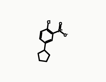 O=[N+]([O-])c1cc(C2CCCC2)ccc1Cl